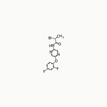 C[C@H](Br)C(=O)Nc1cnc(Oc2ccc(F)cc2F)cn1